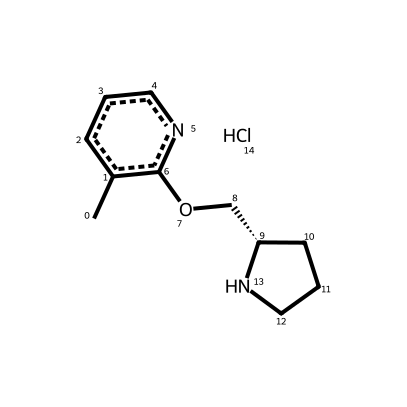 Cc1cccnc1OC[C@@H]1CCCN1.Cl